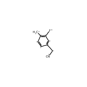 [C-]#[N+]Cc1ccc(C)c(F)c1